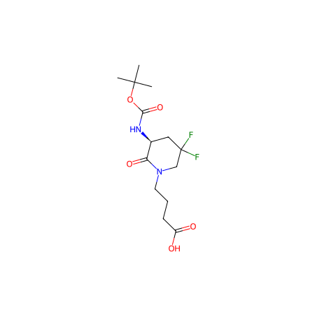 CC(C)(C)OC(=O)N[C@H]1CC(F)(F)CN(CCCC(=O)O)C1=O